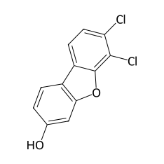 Oc1ccc2c(c1)oc1c(Cl)c(Cl)ccc12